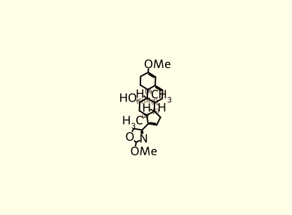 COC1=CC2=CC[C@@H]3[C@H]([C@@H](O)C[C@]4(C)C(C5=NC(OC)OC5)=CC[C@@H]34)[C@@]2(C)CC1